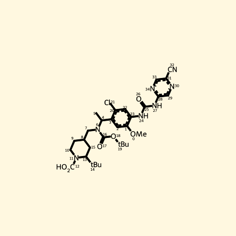 COc1cc(C(C)N(CC2CCN(C(=O)O)C(C(C)(C)C)C2)C(=O)OC(C)(C)C)c(Cl)cc1NC(=O)Nc1cnc(C#N)cn1